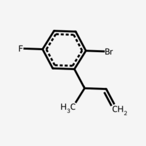 C=C[C](C)c1cc(F)ccc1Br